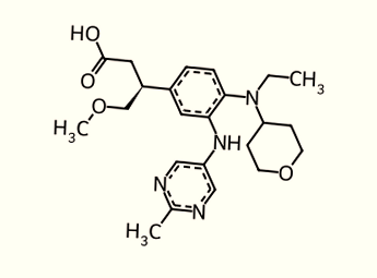 CCN(c1ccc([C@@H](COC)CC(=O)O)cc1Nc1cnc(C)nc1)C1CCOCC1